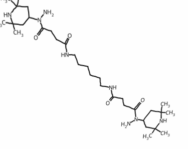 CC1(C)CC(N(N)C(=O)CCC(=O)NCCCCCCNC(=O)CCC(=O)N(N)C2CC(C)(C)NC(C)(C)C2)CC(C)(C)N1